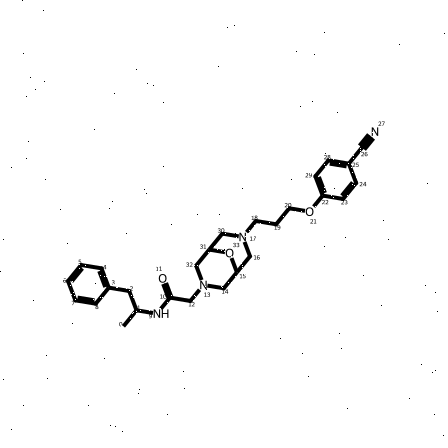 CC(Cc1ccccc1)NC(=O)CN1CC2CN(CCCOc3ccc(C#N)cc3)CC(C1)O2